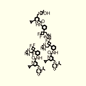 CC(C)[C@H]1CN(C)CCN1Cc1cc(C(=O)Nc2cccc(C3(Cc4nncn4C)CC(F)(F)C3)c2)nc(C2CC2)c1.CC(C)[C@H]1CN(C)CCN1Cc1cc(C(=O)Nc2cccc(C3([C@@H](F)c4nncn4C)CC(F)(F)C3)c2)nc(C2CC2)c1.Cn1cnnc1CC1(c2cccc(NC(=O)c3cc(CN4CC(C)(O)C4)cc(C4CC4)n3)c2)CC(F)(F)C1